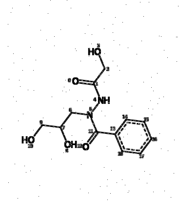 O=C(CO)NN(CC(O)CO)C(=O)c1ccccc1